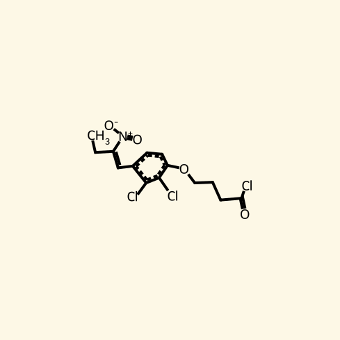 CC/C(=C/c1ccc(OCCCC(=O)Cl)c(Cl)c1Cl)[N+](=O)[O-]